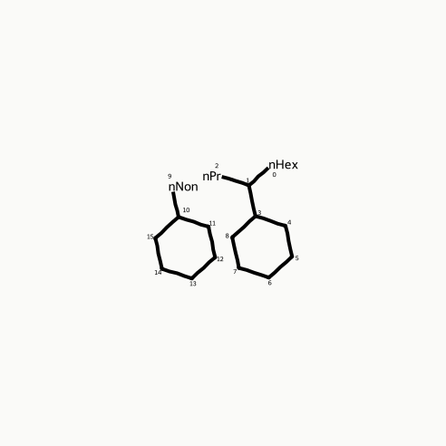 CCCCCCC(CCC)C1CCCCC1.CCCCCCCCCC1CCCCC1